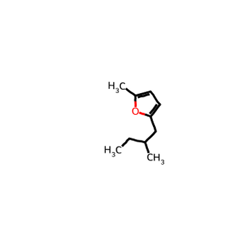 CCC(C)Cc1ccc(C)o1